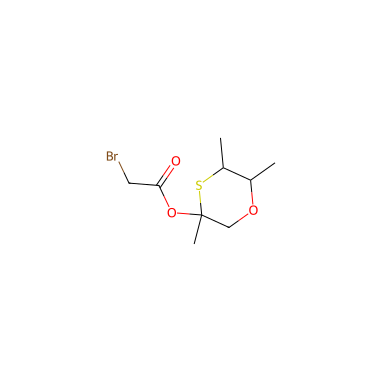 CC1OCC(C)(OC(=O)CBr)SC1C